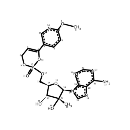 COc1ccc(C2=CCOP(=O)(OC[C@H]3O[C@@H](n4cnc5c(N)ncnc54)[C@](C)(O)[C@@H]3O)O2)cn1